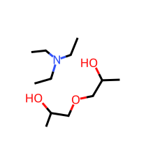 CC(O)COCC(C)O.CCN(CC)CC